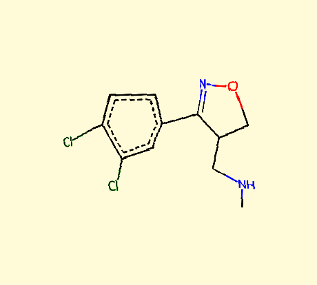 CNCC1CON=C1c1ccc(Cl)c(Cl)c1